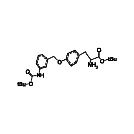 CC(C)(C)OC(=O)Nc1cccc(COc2ccc(C[C@H](N)C(=O)OC(C)(C)C)cc2)c1